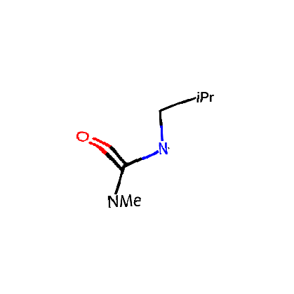 CNC(=O)[N]CC(C)C